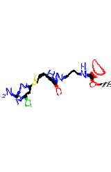 CC(C)(C)OC(=O)NCCCNC(=O)CCSc1cc(Cl)nc(N)n1